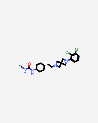 CCNC(=O)N[C@H]1CC[C@H](CCN2CC3(C2)CN(c2cccc(Cl)c2Cl)C3)CC1